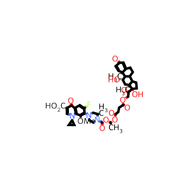 COc1c(N2CCN(C(=O)OC(C)OC(=O)CCC(=O)OCC(=O)[C@@]3(O)CCC4C5CCC6=CC(=O)C=C[C@]6(C)C5[C@@H](O)C[C@@]43C)C(C)C2)c(F)cc2c(=O)c(C(=O)O)cn(C3CC3)c12